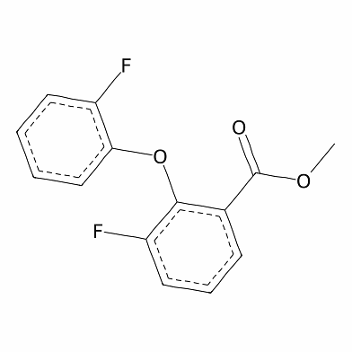 COC(=O)c1cccc(F)c1Oc1ccccc1F